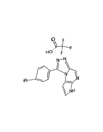 CC(C)c1ccc(-c2nnc3cnc4[nH]ccc4n23)cc1.O=C(O)C(F)(F)F